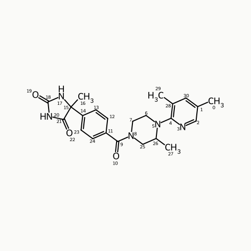 Cc1cnc(N2CCN(C(=O)c3ccc(C4(C)NC(=O)NC4=O)cc3)CC2C)c(C)c1